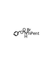 CCCCCC(Br)NC(=O)OCc1ccccc1